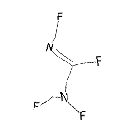 FN=C(F)N(F)F